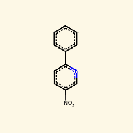 O=[N+]([O-])c1ccc(-c2c[c]ccc2)nc1